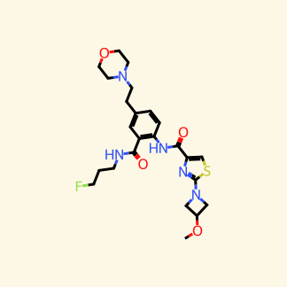 COC1CN(c2nc(C(=O)Nc3ccc(CCN4CCOCC4)cc3C(=O)NCCCF)cs2)C1